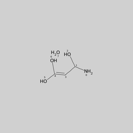 NC(O)C=C(O)O.O